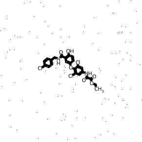 CCOC(=O)C(=O)Nc1cc(Cl)c(Oc2ccc(O)c(C(=O)NCc3ccc(Cl)cc3)c2)c(Cl)c1